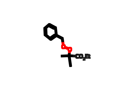 CCOC(=O)C(C)(C)OOCc1ccccc1